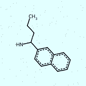 CCCC([NH])c1ccc2ccccc2c1